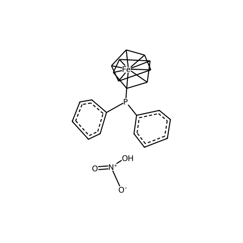 O=[N+]([O-])O.c1ccc(P(c2ccccc2)[C]23[CH]4[CH]5[CH]6[CH]2[Fe]56432789[CH]3[CH]2[CH]7[CH]8[CH]39)cc1